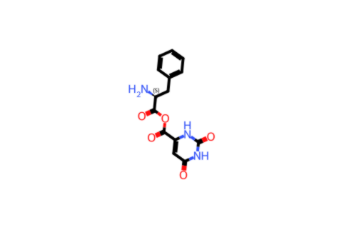 N[C@@H](Cc1ccccc1)C(=O)OC(=O)c1cc(=O)[nH]c(=O)[nH]1